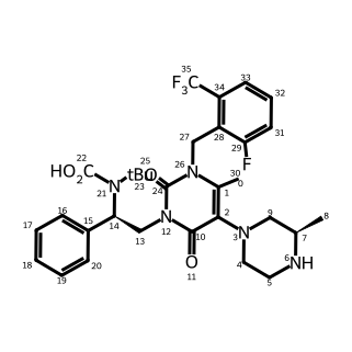 Cc1c(N2CCN[C@H](C)C2)c(=O)n(C[C@@H](c2ccccc2)N(C(=O)O)C(C)(C)C)c(=O)n1Cc1c(F)cccc1C(F)(F)F